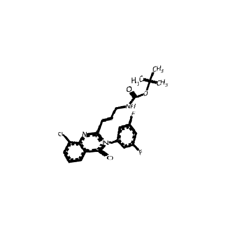 CC(C)(C)OC(=O)NCCCc1nc2c(Cl)cccc2c(=O)n1-c1cc(F)cc(F)c1